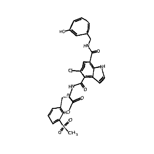 CS(=O)(=O)c1cccc(C[C@H](NC(=O)c2c(Cl)cc(C(=O)NCc3cccc(O)c3)c3[nH]ccc23)C(=O)O)c1